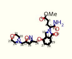 COC(=O)CCC(C(N)=O)N1Cc2c(OCc3cc(CN4CCOCC4)on3)cccc2C1=O